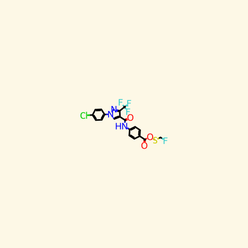 O=C(OSCF)c1ccc(NC(=O)c2cn(-c3ccc(Cl)cc3)nc2C(F)(F)F)cc1